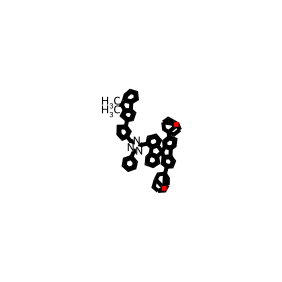 CC1(C)c2ccccc2-c2ccc(-c3cccc(-c4nc(-c5ccccc5)nc(-c5cccc6c5-c5ccccc5C65c6cc(C78CC9CC(CC(C9)C7)C8)ccc6-c6ccc(C78CC9CC(CC(C9)C7)C8)cc65)n4)c3)cc21